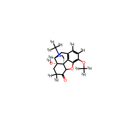 [2H]O[C@@]12CC([2H])([2H])C(=O)C3Oc4c(OC([2H])([2H])[2H])c([2H])c([2H])c5c4[C@@]31CCN(C([2H])([2H])[2H])[C@]2([2H])C5